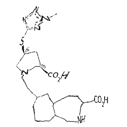 Cn1nnc(S[C@H]2C[C@@H](C(=O)O)N(CC3CCC4CNC(C(=O)O)CC4C3)C2)n1